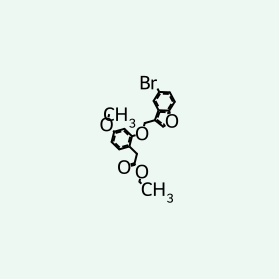 CCOC(=O)Cc1ccc(OC)cc1OCc1coc2ccc(Br)cc12